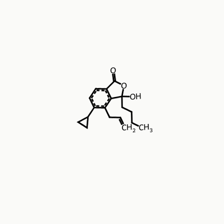 C=CCc1c(C2CC2)ccc2c1C(O)(CCCC)OC2=O